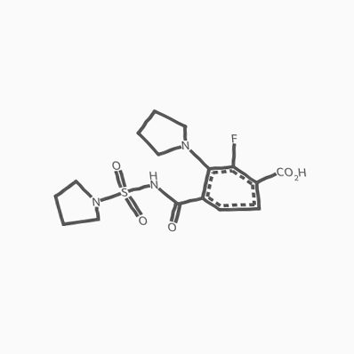 O=C(O)c1ccc(C(=O)NS(=O)(=O)N2CCCC2)c(N2CCCC2)c1F